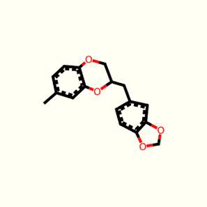 Cc1ccc2c(c1)OC(Cc1ccc3c(c1)OCO3)CO2